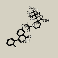 [2H]C([2H])([2H])C([2H])([2H])C([2H])([2H])[C@@]1(C(=O)O)CCCN(C(=O)[C@@H](C)Oc2ccc3c(-c4ccccc4C)c[nH]c(=O)c3c2)C1